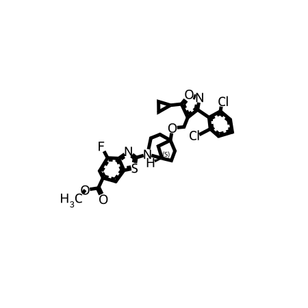 COC(=O)c1cc(F)c2nc(N3CCC4(OCc5c(-c6c(Cl)cccc6Cl)noc5C5CC5)CC[C@H]3C4)sc2c1